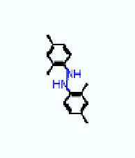 Cc1ccc(NNc2ccc(C)cc2C)c(C)c1